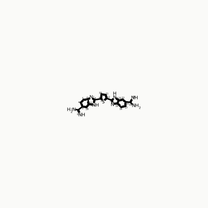 N=C(N)c1ccc2nc(-c3ccc(-c4nc5ccc(C(=N)N)cc5[nH]4)s3)[nH]c2c1